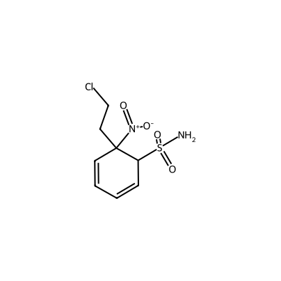 NS(=O)(=O)C1C=CC=CC1(CCCl)[N+](=O)[O-]